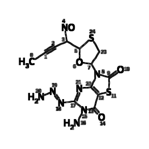 CC#CC(N=O)C1OC(n2c(=O)sc3c(=O)n(N)c(N=NN)nc32)CS1